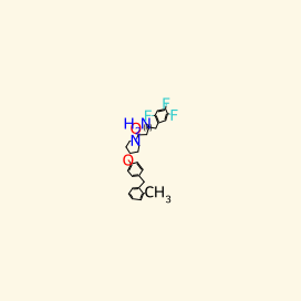 Cc1ccccc1Cc1ccc(OC2CCN(C(=O)C[C@H](N)Cc3cc(F)c(F)cc3F)CC2)cc1